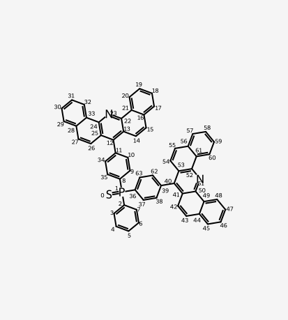 S=P(c1ccccc1)(c1ccc(-c2c3ccc4ccccc4c3nc3c2ccc2ccccc23)cc1)c1ccc(-c2c3ccc4ccccc4c3nc3c2ccc2ccccc23)cc1